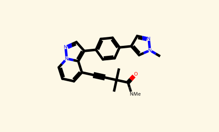 CNC(=O)C(C)(C)C#Cc1cccn2ncc(-c3ccc(-c4cnn(C)c4)cc3)c12